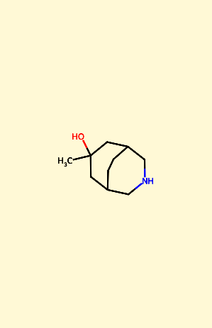 CC1(O)CC2CCC(CNC2)C1